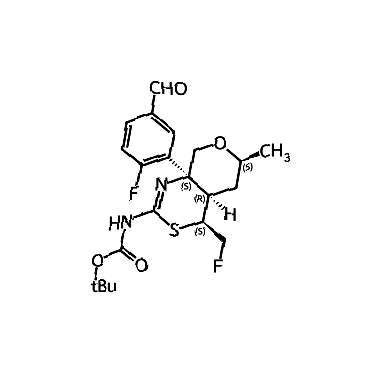 C[C@H]1C[C@H]2[C@@H](CF)SC(NC(=O)OC(C)(C)C)=N[C@@]2(c2cc(C=O)ccc2F)CO1